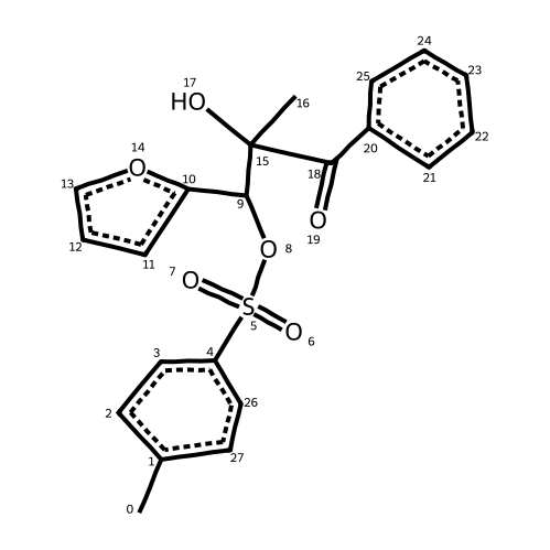 Cc1ccc(S(=O)(=O)OC(c2ccco2)C(C)(O)C(=O)c2ccccc2)cc1